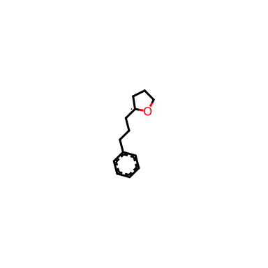 c1ccc(CCC[C]2CCCO2)cc1